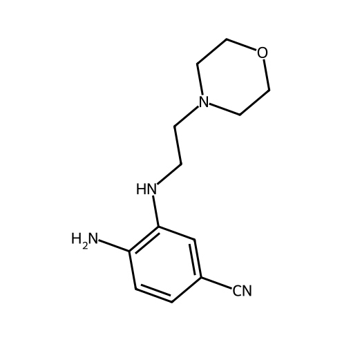 N#Cc1ccc(N)c(NCCN2CCOCC2)c1